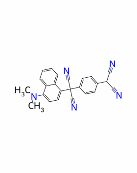 CN(C)c1ccc(C(C#N)(C#N)c2ccc(C(C#N)C#N)cc2)c2ccccc12